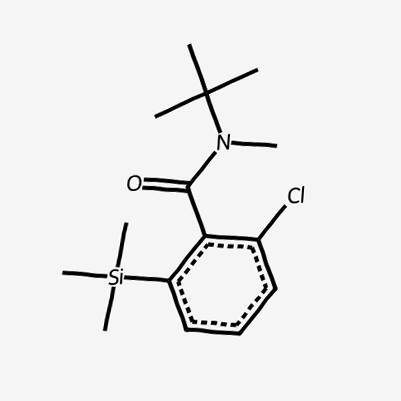 CN(C(=O)c1c(Cl)cccc1[Si](C)(C)C)C(C)(C)C